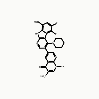 CNc1cc(F)c(F)c2c1[nH]c1ncc(-c3cnc4c(c3)c(=O)c(C(=O)O)cn4C)c(N3CCCCC3)c12